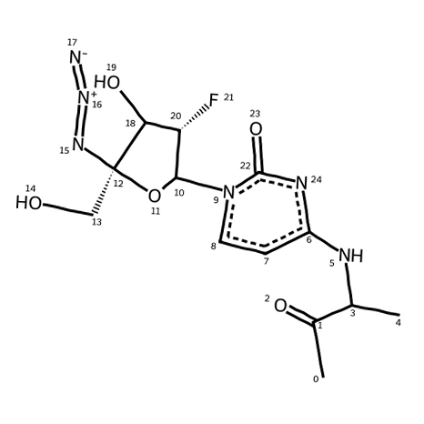 CC(=O)C(C)Nc1ccn(C2O[C@@](CO)(N=[N+]=[N-])C(O)[C@@H]2F)c(=O)n1